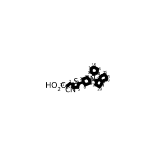 N#C/C(=C\c1ccc(-c2ccc(N(c3ccccc3)c3cccc4ccccc34)cc2)s1)C(=O)O